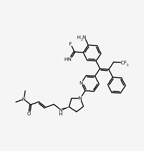 CN(C)C(=O)/C=C/CN[C@@H]1CCN(c2ccc(/C(=C(/CC(F)(F)F)c3ccccc3)c3ccc(N)c(C(=N)F)c3)cn2)C1